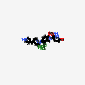 Cl.Cl.O=C1CC[C@H](N2Cc3c(ccc(N4CCC(CC5CCNCC5)CC4)c3Cl)C2=O)C(=O)N1